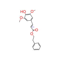 COc1cc(/C=C/C(=O)OCCc2ccccc2)cc(OC)c1O